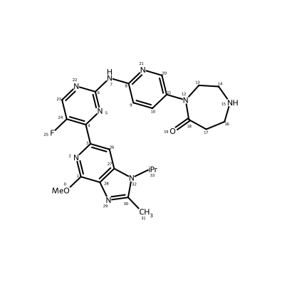 COc1nc(-c2nc(Nc3ccc(N4CCNCCC4=O)cn3)ncc2F)cc2c1nc(C)n2C(C)C